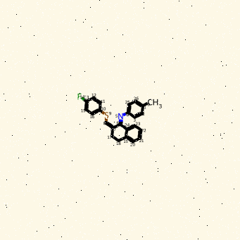 Cc1ccc(N=C2C(=CSc3ccc(F)cc3)CCc3ccccc32)cc1